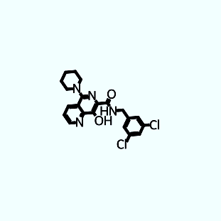 O=C(NCc1cc(Cl)cc(Cl)c1)c1nc(N2CCCCC2)c2cccnc2c1O